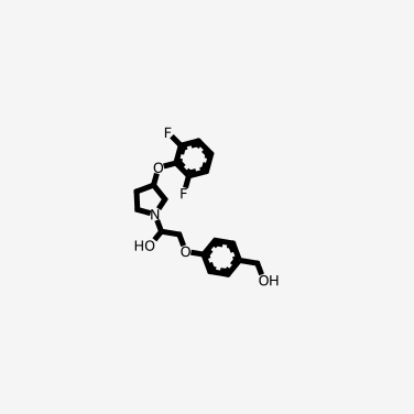 OCc1ccc(OCC(O)N2CCC(Oc3c(F)cccc3F)C2)cc1